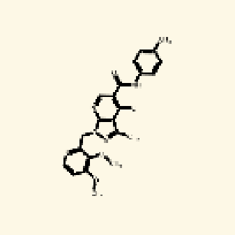 COc1ccnc(Cn2nc(C)c3c(Cl)c(C(=O)Nc4ccc(C)cc4)cnc32)c1OC